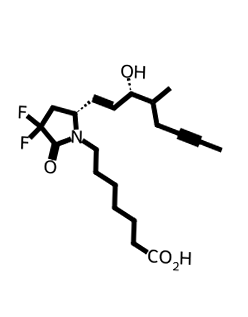 CC#CCC(C)[C@@H](O)C=C[C@H]1CC(F)(F)C(=O)N1CCCCCCC(=O)O